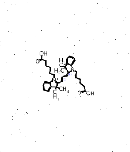 CC1(C)C(/C=C/C=C2/N(CCCCCC(=O)O)c3ccccc3C2(C)C)=[N+](CCCCCC(=O)O)c2ccccc21